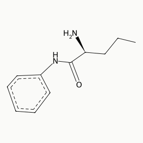 CCC[C@H](N)C(=O)Nc1ccccc1